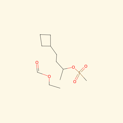 CC(CCC1CCC1)OS(C)(=O)=O.CCOC=O